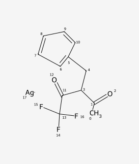 CC(=O)C(Cc1ccccc1)C(=O)C(F)(F)F.[Ag]